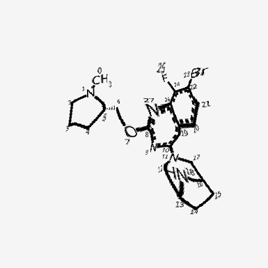 CN1CCC[C@H]1COc1nc(N2CC3CCC(C2)N3)c2ccc(Br)c(F)c2n1